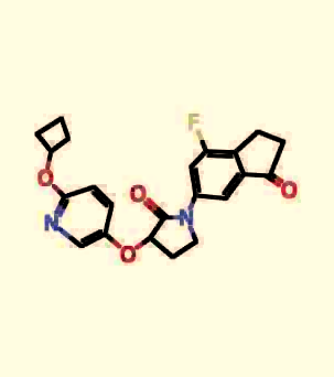 O=C1CCc2c(F)cc(N3CCC(Oc4ccc(OC5CCC5)nc4)C3=O)cc21